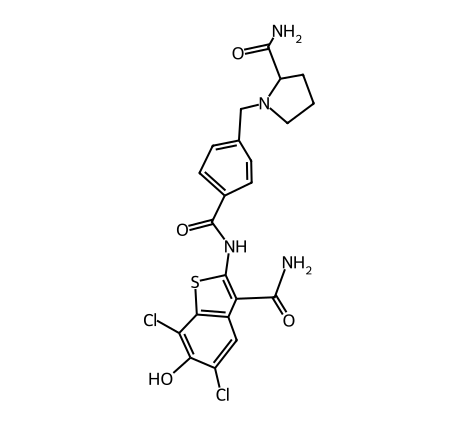 NC(=O)c1c(NC(=O)c2ccc(CN3CCCC3C(N)=O)cc2)sc2c(Cl)c(O)c(Cl)cc12